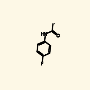 [CH2]C(=O)Nc1ccc(F)cc1